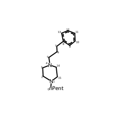 CCCCCN1CCN(CCCc2ccccc2)CC1